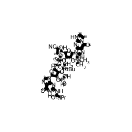 CC(C)C(=O)Nc1nc2c(ncn2[C@@H]2O[C@H](COP(=S)(OCCC#N)O[C@H]3[C@@H](O[Si](C)(C)C(C)(C)C)[C@H](n4cnc5c(=O)n6cc[nH]c6nc54)O[C@@H]3CO)[C@@H](O[Si](C)(C)C(C)(C)C)[C@H]2O[PH](=O)O)c(=O)[nH]1